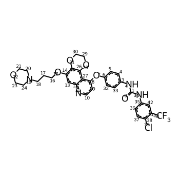 O=C(Nc1ccc(Oc2ccnc3cc(OCCCN4CCOCC4)c4c(c23)OCCO4)cc1)Nc1ccc(Cl)c(C(F)(F)F)c1